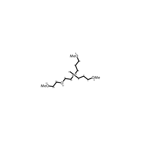 COCCC[N+](C)(CCCOC)CCOCCOC